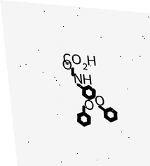 O=C(O)OCCNCc1ccc(OCc2ccccc2)c(OCc2ccccc2)c1